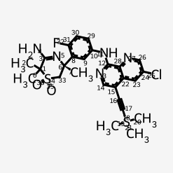 CC1(C)C(N)=N[C@](C)(c2cc(Nc3ncc(C#CS(C)(C)C)c4cc(Cl)cnc34)ccc2F)CS1(=O)=O